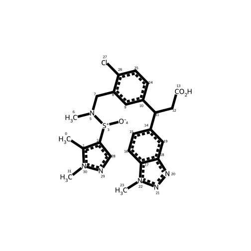 Cc1c([S+]([O-])N(C)Cc2cc(C(CC(=O)O)c3ccc4c(c3)nnn4C)ccc2Cl)cnn1C